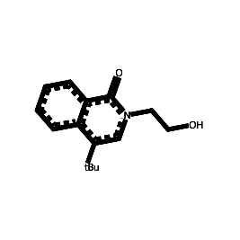 CC(C)(C)c1cn(CCO)c(=O)c2ccccc12